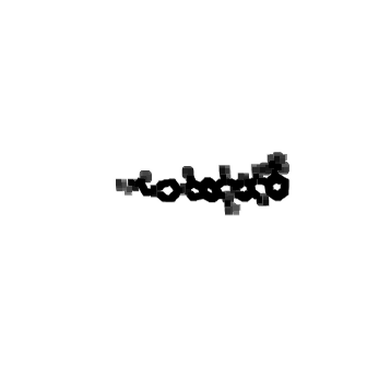 CCCS(=O)(=O)c1ccccc1Nc1nc(Nc2cc3c(cc2OC(C)C)CN(C2CCN(CC(N)=O)CC2)C3=O)ncc1Cl